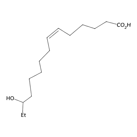 CCC(O)CCCCC/C=C\CCCCC(=O)O